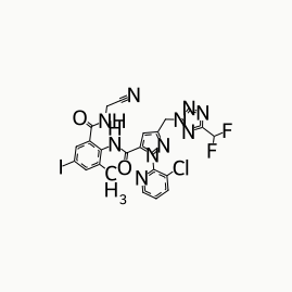 Cc1cc(I)cc(C(=O)NCC#N)c1NC(=O)c1cc(Cn2nnc(C(F)F)n2)nn1-c1ncccc1Cl